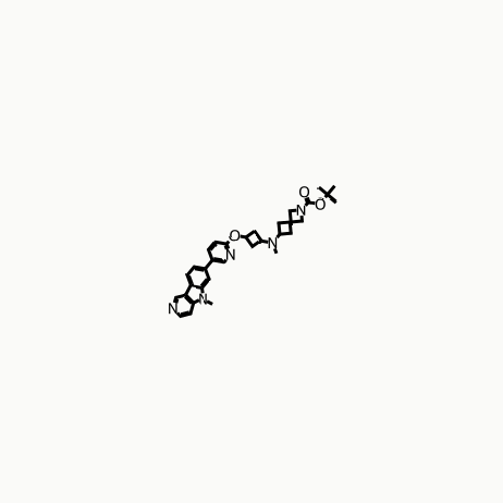 CN(C1CC(Oc2ccc(-c3ccc4c5cnccc5n(C)c4c3)cn2)C1)C1CC2(C1)CN(C(=O)OC(C)(C)C)C2